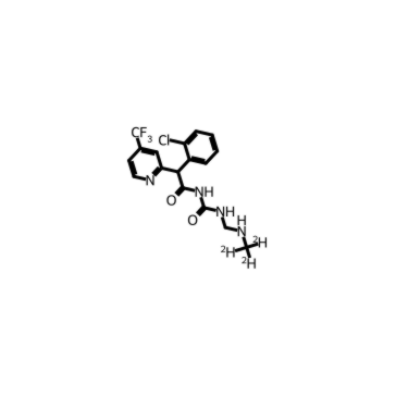 [2H]C([2H])([2H])NCNC(=O)NC(=O)C(c1cc(C(F)(F)F)ccn1)c1ccccc1Cl